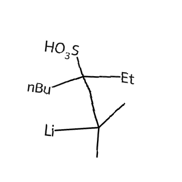 [Li][C](C)(C)C(CC)(CCCC)S(=O)(=O)O